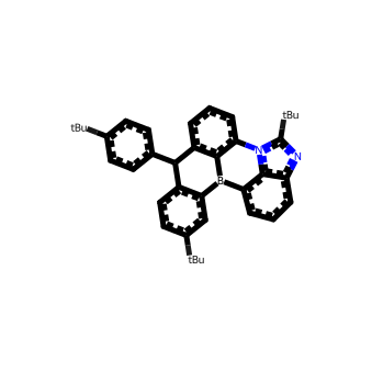 CC(C)(C)c1ccc(C2c3ccc(C(C)(C)C)cc3B3c4c2cccc4-n2c(C(C)(C)C)nc4cccc3c42)cc1